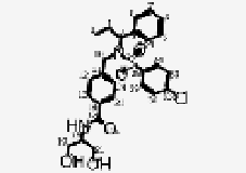 CCC(c1ccccc1)N(Cc1ccc(C(=O)NC(CO)CO)cc1)S(=O)(=O)c1ccc(Cl)cc1